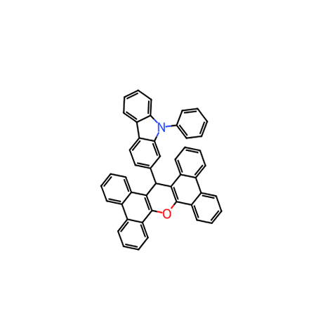 c1ccc(-n2c3ccccc3c3ccc(C4c5c(c6ccccc6c6ccccc56)Oc5c4c4ccccc4c4ccccc54)cc32)cc1